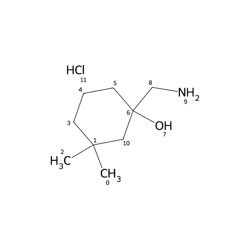 CC1(C)CCCC(O)(CN)C1.Cl